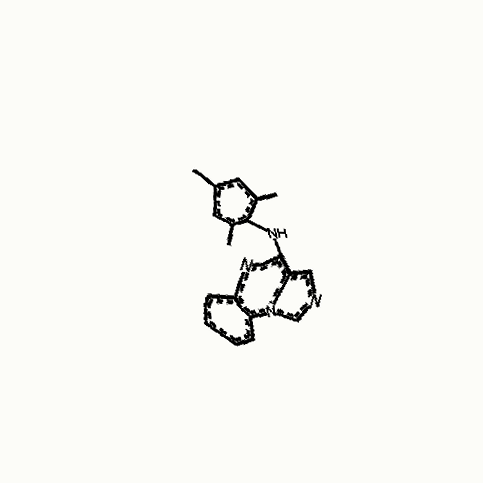 Cc1cc(C)c(Nc2nc3ccccc3n3cncc23)c(C)c1